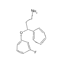 NCCC(Oc1cccc(F)c1)c1ccccc1